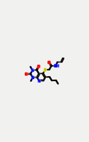 C=CCNC(=O)CSc1c(CCCC)cnc2c1c(=O)n(C)c(=O)n2C